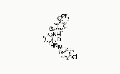 O=C(Nc1ccccc1C(=O)N/N=C/c1ccc(Cl)cc1)c1cccc(OC(F)(F)F)c1